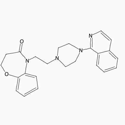 O=C1CCOc2ccccc2N1CCN1CCN(c2nccc3ccccc23)CC1